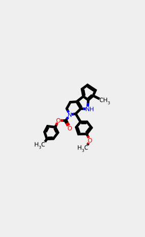 COc1ccc(C2c3[nH]c4c(C)cccc4c3CCN2C(=O)Oc2ccc(C)cc2)cc1